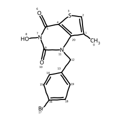 Cc1csc2c(=O)n(O)c(=O)n(Cc3ccc(Br)cc3)c12